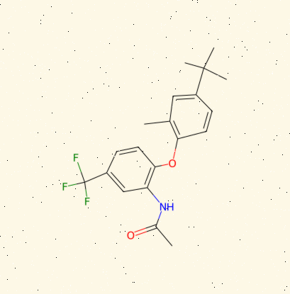 CC(=O)Nc1cc(C(F)(F)F)ccc1Oc1ccc(C(C)(C)C)cc1C